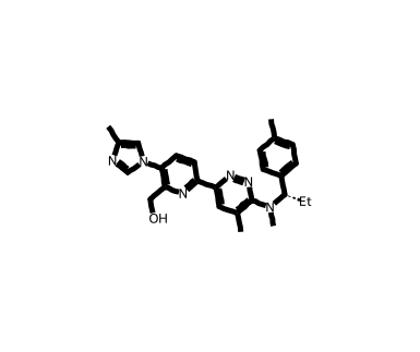 CC[C@@H](c1ccc(C)cc1)N(C)c1nnc(-c2ccc(-n3cnc(C)c3)c(CO)n2)cc1C